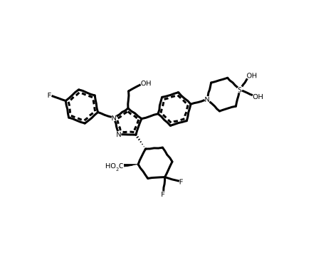 O=C(O)[C@@H]1CC(F)(F)CC[C@H]1c1nn(-c2ccc(F)cc2)c(CO)c1-c1ccc(N2CCS(O)(O)CC2)cc1